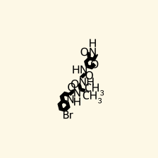 CC(C)C(NC(=O)c1ccc2ccc(Br)cc2n1)C(=O)NCC(=O)NC(C=O)CC1CCNC1=O